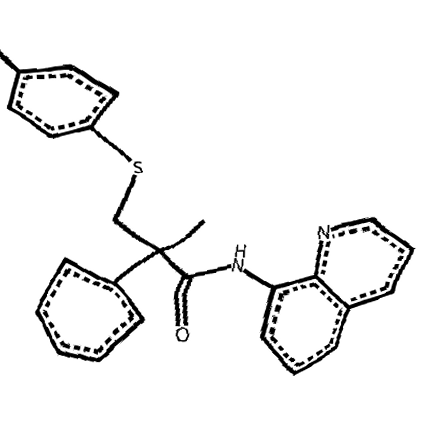 Cc1ccc(SCC(C)(C(=O)Nc2cccc3cccnc23)c2ccccc2)cc1